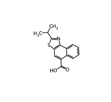 CC(C)c1nc2c(cc(C(=O)O)c3ccccc32)s1